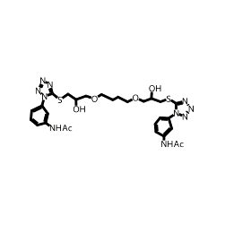 CC(=O)Nc1cccc(-n2nnnc2SCC(O)COCCCCOCC(O)CSc2nnnn2-c2cccc(NC(C)=O)c2)c1